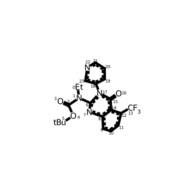 CCN(C(=O)OC(C)(C)C)c1nc2cccc(C(F)(F)F)c2c(=O)n1-c1cccnc1